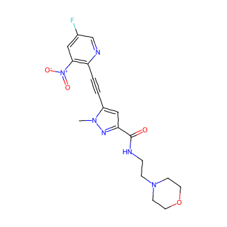 Cn1nc(C(=O)NCCN2CCOCC2)cc1C#Cc1ncc(F)cc1[N+](=O)[O-]